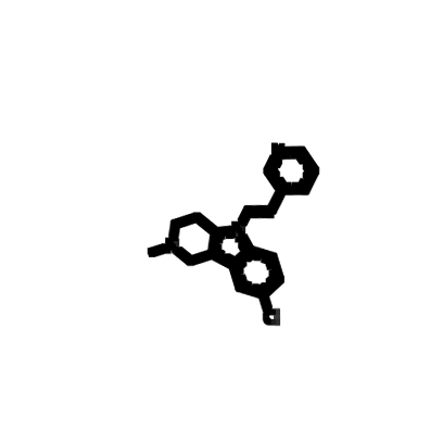 CN1CCc2c(c3cc(Cl)ccc3n2C=Cc2cccnc2)C1